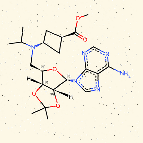 COC(=O)[C@H]1C[C@@H](N(C[C@H]2O[C@@H](n3cnc4c(N)ncnc43)[C@@H]3OC(C)(C)O[C@@H]32)C(C)C)C1